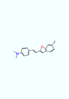 CN(C)c1ccc(/C=C/c2cc3ccc(I)cc3o2)cc1